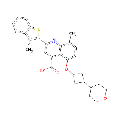 Cc1c(-c2cc(C(=O)O)c3c(OC4CC(C5CCOCC5)C4)ccc(C)c3n2)sc2ccccc12